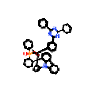 O=P1(c2ccccc2)c2ccccc2C2(c3ccccc3-n3c4ccccc4c4cccc2c43)c2cc(-c3cccc(-c4nc(-c5ccccc5)nc(-c5ccccc5)n4)c3)ccc21